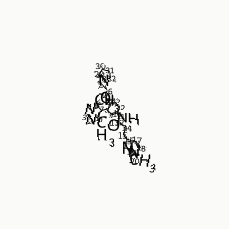 Cc1ncnc(C)c1-c1cc(NC(=O)CCc2ccn(C)n2)ccc1OCCN1CCCC1